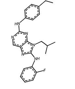 CCc1ccc(Nc2ncc3nc(Nc4ccccc4F)n(CC(C)C)c3n2)cc1